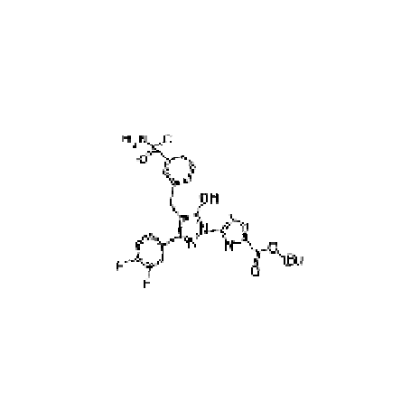 CC(C)(C)OC(=O)c1csc(-n2nc(-c3ccc(F)c(F)c3)c(Cc3cccc(S(N)(=O)=O)c3)c2O)n1